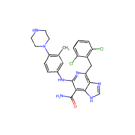 Cc1cc(Nc2nc(Cc3c(Cl)cccc3Cl)c3nc[nH]c3c2C(N)=O)ccc1N1CCNCC1